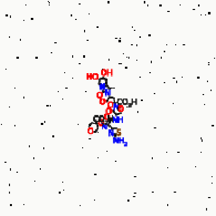 Cc1c2cc(O)c(O)cn2c(=O)n1C1CC(C(=O)O)(N2OC[C@H](NC(=O)/C(=N\OC3(C(=O)O)CCOCC3)c3csc(N)n3)C2=O)OC1=O